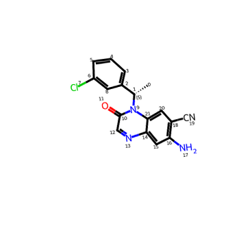 C[C@@H](c1cccc(Cl)c1)n1c(=O)cnc2cc(N)c(C#N)cc21